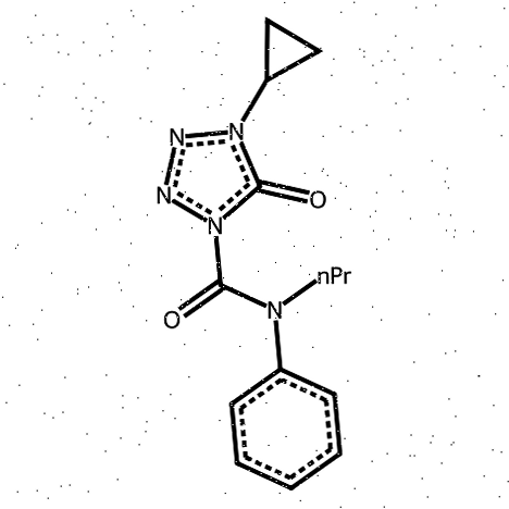 CCCN(C(=O)n1nnn(C2CC2)c1=O)c1ccccc1